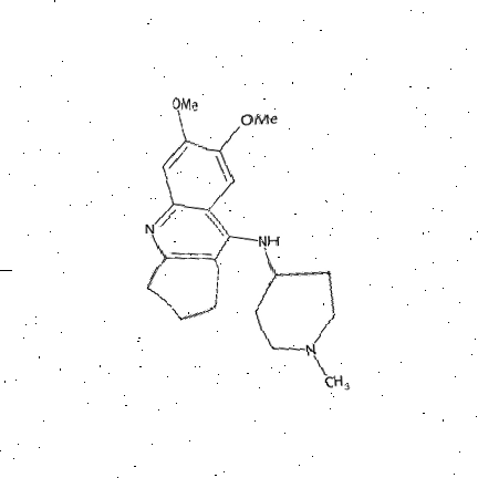 COc1cc2nc3c(c(NC4CCN(C)CC4)c2cc1OC)CCC3